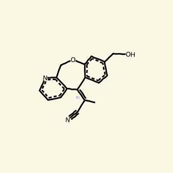 C/C(C#N)=C1\c2ccc(CO)cc2OCc2ncccc21